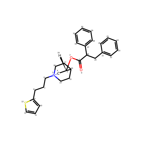 O=C(O[C@H]1C[N+]2(CCCc3cccs3)CCC1CC2)C(Cc1ccccc1)c1ccccc1